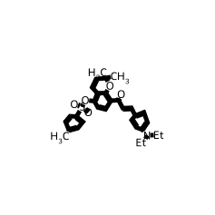 CCN(CC)c1ccc(/C=C/C(=O)c2ccc(OS(=O)(=O)c3ccc(C)cc3)c3c2OC(C)(C)C=C3)cc1